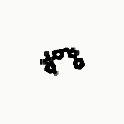 O=c1[nH]c2ccc(F)cc2n1C1CCN(CC2=NOC(c3ccccc3)C2)CC1